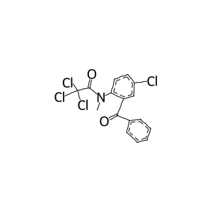 CN(C(=O)C(Cl)(Cl)Cl)c1ccc(Cl)cc1C(=O)c1ccccc1